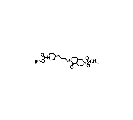 CC(C)OC(=O)N1CCC(CCCCn2ccc3c(c2=O)CCN(S(C)(=O)=O)C3)CC1